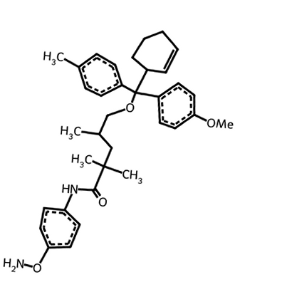 COc1ccc(C(OCC(C)CC(C)(C)C(=O)Nc2ccc(ON)cc2)(c2ccc(C)cc2)C2C=CCCC2)cc1